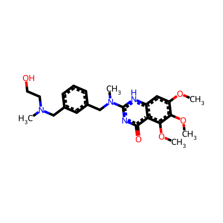 COc1cc2[nH]c(N(C)Cc3cccc(CN(C)CCO)c3)nc(=O)c2c(OC)c1OC